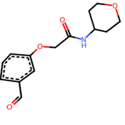 O=Cc1cccc(OCC(=O)NC2CCOCC2)c1